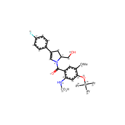 COc1cc(C(=O)N2C=C(c3ccc(F)cc3)CC2CO)c(NC(=O)O)cc1O[Si](C(C)C)(C(C)C)C(C)C